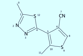 Cc1nnc(-c2c(C#N)csc2C)s1